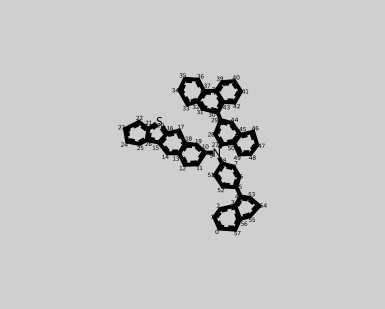 c1ccc2c(-c3ccc(N(c4ccc5cc6c(cc5c4)sc4ccccc46)c4cc(-c5cc6ccccc6c6ccccc56)cc5ccccc45)cc3)cccc2c1